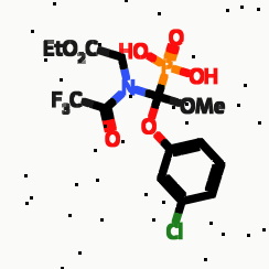 CCOC(=O)CN(C(=O)C(F)(F)F)C(OC)(Oc1cccc(Cl)c1)P(=O)(O)O